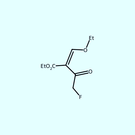 CCOC=C(C(=O)CF)C(=O)OCC